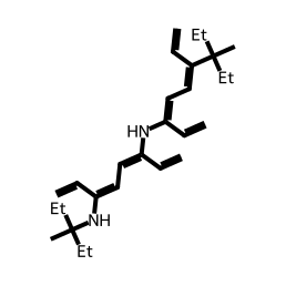 C=C/C(=C\C=C(/C=C)NC(C)(CC)CC)N/C(C=C)=C/C=C(\C=C)C(C)(CC)CC